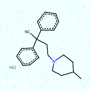 CC1CCN(CCC(C#N)(c2ccccc2)c2ccccc2)CC1.Cl